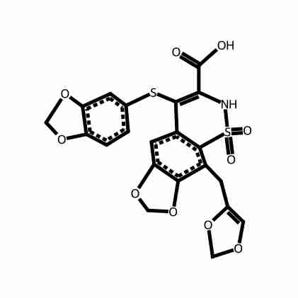 O=C(O)C1=C(Sc2ccc3c(c2)OCO3)c2cc3c(c(CC4=COCO4)c2S(=O)(=O)N1)OCO3